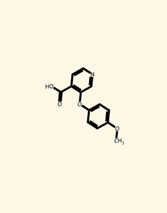 COc1ccc(Oc2cnccc2C(=O)O)cc1